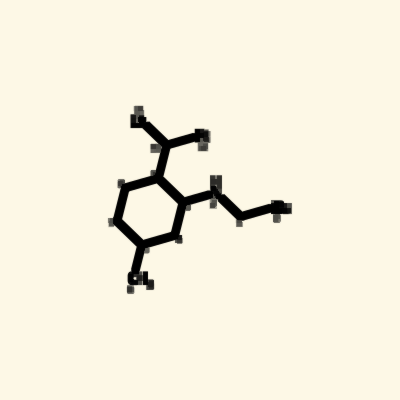 CCC(C)CNC1CC(C)CCC1C(CC)CC